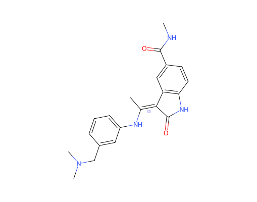 CNC(=O)c1ccc2c(c1)/C(=C(\C)Nc1cccc(CN(C)C)c1)C(=O)N2